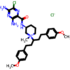 COc1ccc(CCC(CCc2ccc(OC)cc2)[N+]2(C)CCC[C@H](NC(=O)c3nc(Cl)c(N)nc3N)C2)cc1.[Cl-]